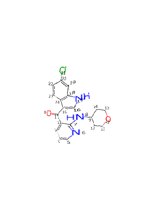 O=C(c1cccnc1NC1CCOCC1)c1c[nH]c2cc(Cl)ccc12